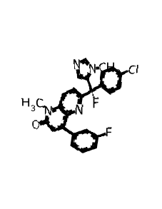 Cn1cncc1[C@@](F)(c1ccc(Cl)cc1)c1ccc2c(n1)c(-c1cccc(F)c1)cc(=O)n2C